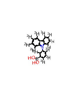 [2H]c1c([2H])c(B(O)O)c([2H])c(-n2c3c([2H])c([2H])c([2H])c([2H])c3c3c([2H])c([2H])c([2H])c([2H])c32)c1[2H]